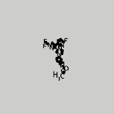 CCOC(=O)N1CC2(CC[C@@H](N3CCN(c4nc(F)ccc4-c4cnn(C(F)F)c4)CC3)C2)C1